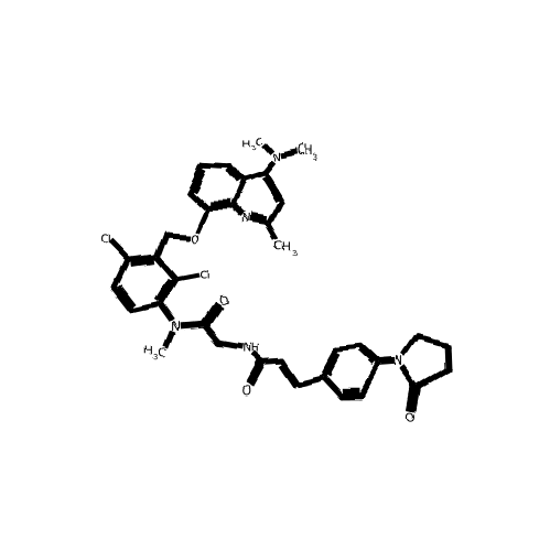 Cc1cc(N(C)C)c2cccc(OCc3c(Cl)ccc(N(C)C(=O)CNC(=O)C=Cc4ccc(N5CCCC5=O)cc4)c3Cl)c2n1